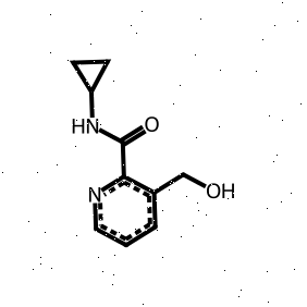 O=C(NC1CC1)c1ncccc1CO